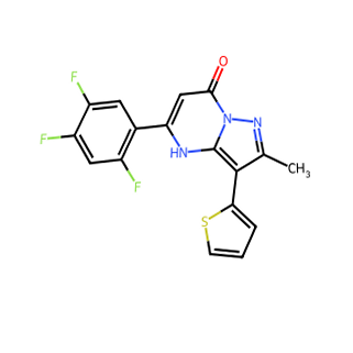 Cc1nn2c(=O)cc(-c3cc(F)c(F)cc3F)[nH]c2c1-c1cccs1